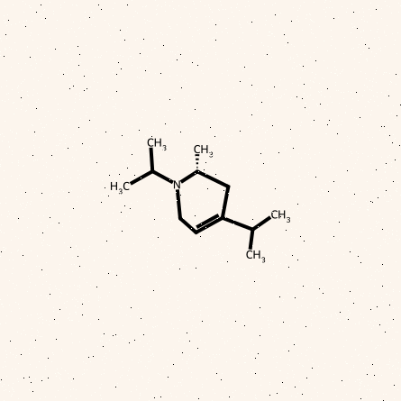 CC(C)C1=CCN(C(C)C)[C@H](C)C1